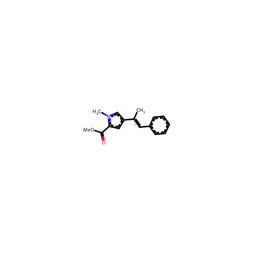 COC(=O)c1cc(/C(C)=C/c2ccccc2)cn1C